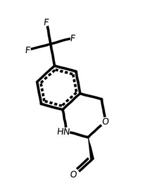 O=C[C@H]1Nc2ccc(C(F)(F)F)cc2CO1